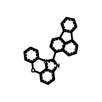 c1ccc2c(c1)Oc1cccc3nc(-c4ccc5c6c(cccc46)-c4ccccc4-5)n-2c13